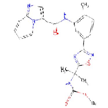 Cc1ccc(-c2noc(C(C)(C)NC(=O)OC(C)(C)C)n2)cc1NC(=O)c1cnc2ccccn12